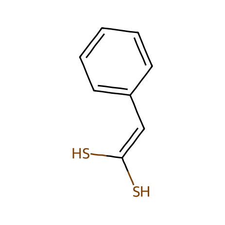 SC(S)=Cc1ccccc1